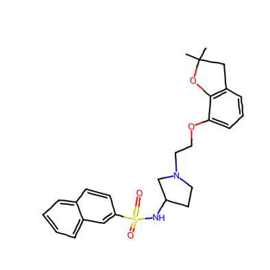 CC1(C)Cc2cccc(OCCN3CCC(NS(=O)(=O)c4ccc5ccccc5c4)C3)c2O1